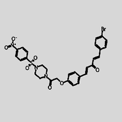 O=C(C=Cc1ccc(Br)cc1)C=Cc1ccc(OCC(=O)N2CCN(S(=O)(=O)c3ccc([N+](=O)[O-])cc3)CC2)cc1